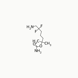 CC(C)(CCCC(F)(F)CN)OC(N)=O